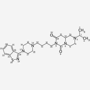 CC(C)N1CCN2C(=O)N(CCCCN3CCN(c4nsc5ccccc45)CC3)C(=O)CC2C1